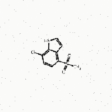 CS(=O)(=O)c1ccc(Cl)c2[nH]ccc12